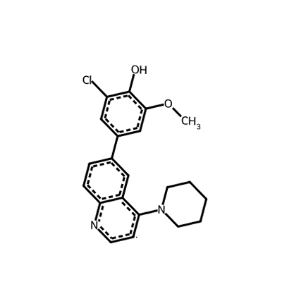 COc1cc(-c2ccc3nc[c]c(N4CCCCC4)c3c2)cc(Cl)c1O